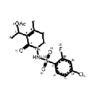 CC(=O)OC(C)C1=C(C)CCN(NS(=O)(=O)c2ccc(Cl)cc2F)C1=O